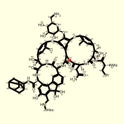 CCCCCCNCc1c(O)cc2c3c1C(O)(O)c1ccc(cc1-3)[C@H]1NC(=O)[C@@H]3NC(=O)[C@H](CC(N)=O)NC(=O)[C@H](NC(=O)[C@@H](CC(C)C)NC)[C@H](O)c4ccc(c(C)c4)Oc4cc3cc(c4O[C@@H]3O[C@H](CN)[C@@H](O)[C@H](O)[C@H]3O)Oc3ccc(cc3Cl)[C@@H](O)[C@H](NC1=O)C(=O)N[C@@H]2C(=O)NC1C2CC3CC(C2)CC1C3